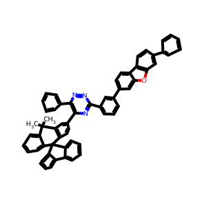 CC1(C)c2ccccc2C2(c3ccccc3-c3ccccc32)c2ccc(-c3nc(-c4cccc(-c5ccc6c(c5)oc5cc(-c7ccccc7)ccc56)c4)nnc3-c3ccccc3)cc21